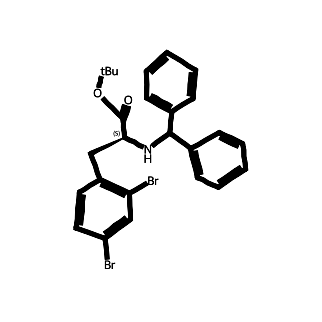 CC(C)(C)OC(=O)[C@H](Cc1ccc(Br)cc1Br)NC(c1ccccc1)c1ccccc1